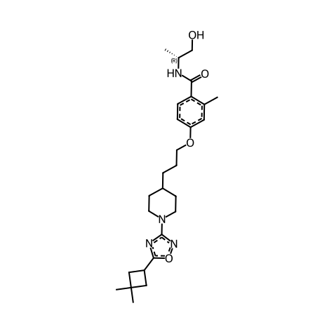 Cc1cc(OCCCC2CCN(c3noc(C4CC(C)(C)C4)n3)CC2)ccc1C(=O)N[C@H](C)CO